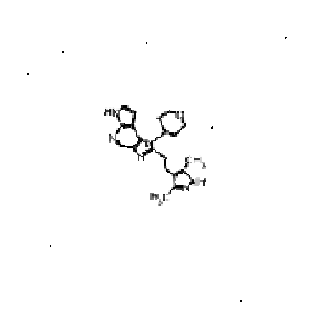 Cc1n[nH]c(C)c1CCc1nc2cnc3[nH]ccc3c2n1C1CCOCC1